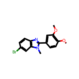 COc1ccc(-c2nc3ccc(Br)cc3n2C)cc1OC